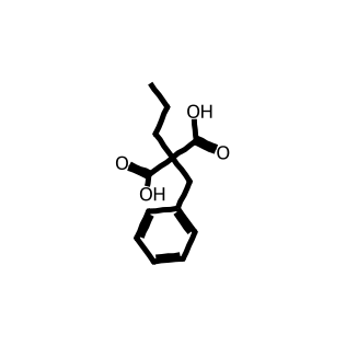 CCCC(Cc1ccccc1)(C(=O)O)C(=O)O